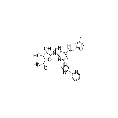 CNC(=O)C1OC(n2cnc3c(NCc4cc(C)no4)nc(-n4cc(-c5ccccn5)nn4)nc32)[C@H](O)[C@@H]1O